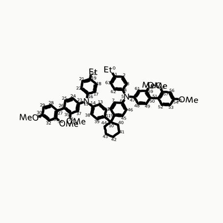 CCc1ccc(N(c2ccc(C3(c4ccc(N(c5ccc(CC)cc5)c5ccc(-c6ccc(OC)cc6OC)c(OC)c5)cc4)CCCCC3)cc2)c2ccc(-c3ccc(OC)cc3OC)c(OC)c2)cc1